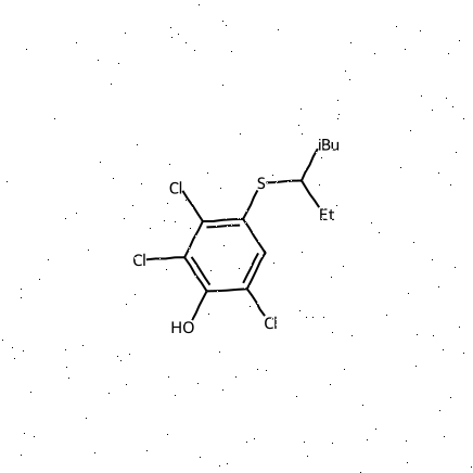 CCC(C)C(CC)Sc1cc(Cl)c(O)c(Cl)c1Cl